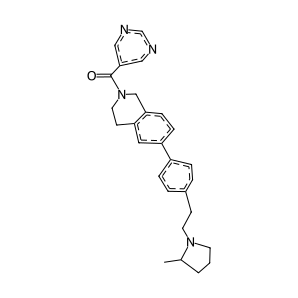 CC1CCCN1CCc1ccc(-c2ccc3c(c2)CCN(C(=O)c2cncnc2)C3)cc1